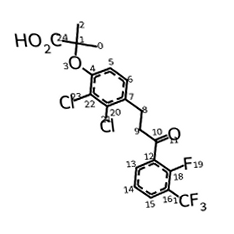 CC(C)(Oc1ccc(CCC(=O)c2cccc(C(F)(F)F)c2F)c(Cl)c1Cl)C(=O)O